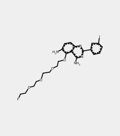 Nc1ccc2nc(-c3cccc(I)c3)nc(N)c2c1OCCOCCOCCOCCF